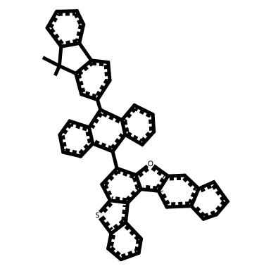 CC1(C)c2ccccc2-c2ccc(-c3c4ccccc4c(-c4cc5sc6ccccc6c5c5c4oc4cc6ccccc6cc45)c4ccccc34)cc21